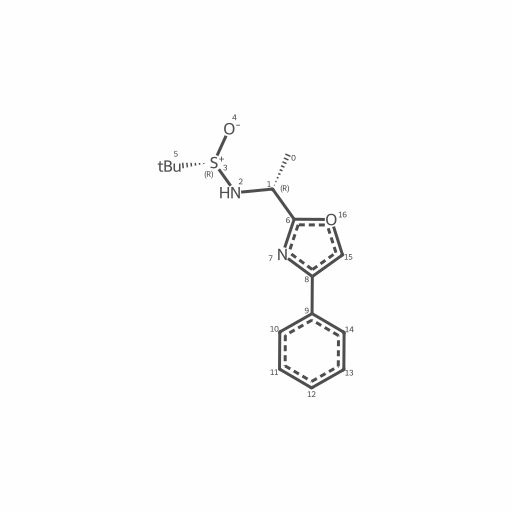 C[C@@H](N[S@@+]([O-])C(C)(C)C)c1nc(-c2ccccc2)co1